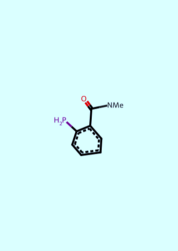 CNC(=O)c1ccccc1P